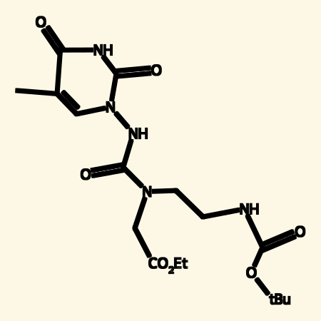 CCOC(=O)CN(CCNC(=O)OC(C)(C)C)C(=O)Nn1cc(C)c(=O)[nH]c1=O